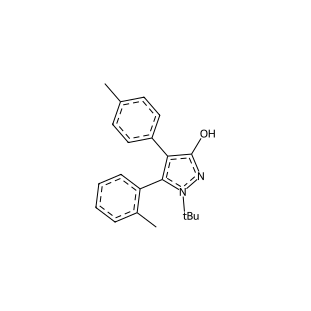 Cc1ccc(-c2c(O)nn(C(C)(C)C)c2-c2ccccc2C)cc1